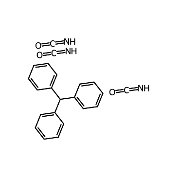 N=C=O.N=C=O.N=C=O.c1ccc(C(c2ccccc2)c2ccccc2)cc1